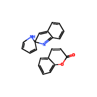 C1=CNC2(C=C1)C=c1ccccc1=N2.O=c1ccc2ccccc2o1